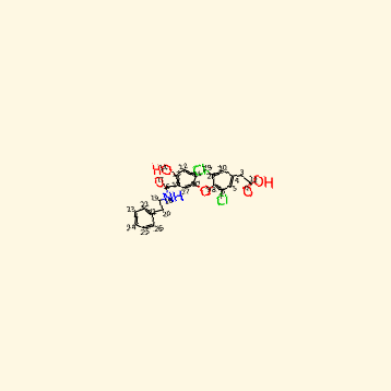 O=C(O)Cc1cc(Cl)c(Oc2ccc(O)c(C(=O)NCCc3ccccc3)c2)c(Cl)c1